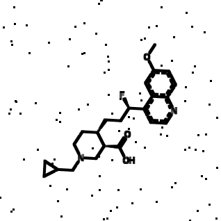 COc1ccc2nccc([C@H](F)CC[C@@H]3CCN(CC4CC4)C[C@@H]3C(=O)O)c2c1